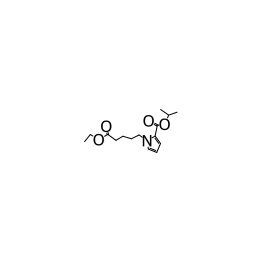 CCOC(=O)CCCCn1cccc1C(=O)OC(C)C